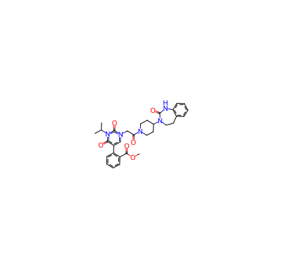 COC(=O)c1ccccc1-c1cn(CC(=O)N2CCC(N3CCc4ccccc4NC3=O)CC2)c(=O)n(C(C)C)c1=O